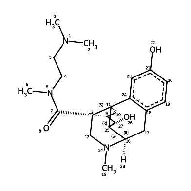 CN(C)CCN(C)C(=O)[C@@H]1C[C@]23CCN(C)[C@H](Cc4ccc(O)cc42)[C@]3(O)C1